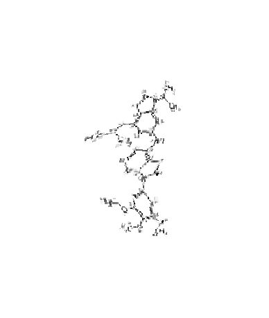 COc1cc(-n2ncc3c(Nc4nc(CC(C)C)c5cnn(C(C)C)c5n4)cccc32)cc(OC)c1OC